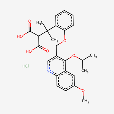 COc1ccc2ncc(COc3ccccc3C(C)(C)C(C(=O)O)C(=O)O)c(OC(C)C)c2c1.Cl